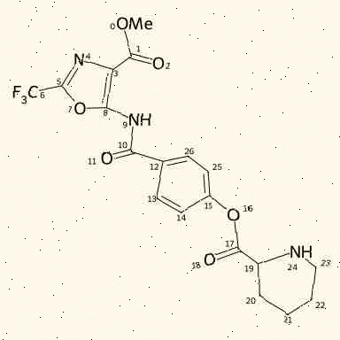 COC(=O)c1nc(C(F)(F)F)oc1NC(=O)c1ccc(OC(=O)C2CCCCN2)cc1